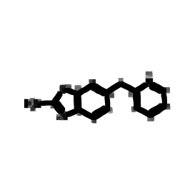 Nc1nc2ccc(Cc3ccccn3)cc2s1